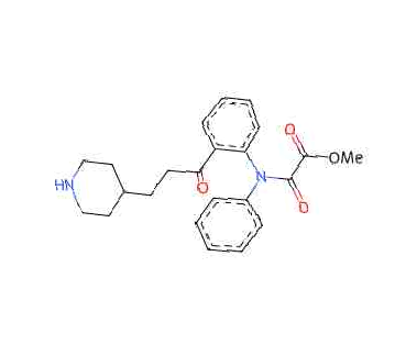 COC(=O)C(=O)N(c1ccccc1)c1ccccc1C(=O)CCC1CCNCC1